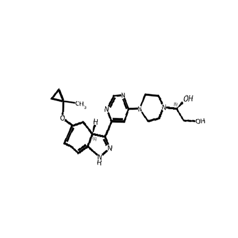 CC1(OC2=CC=C3NN=C(c4cc(N5CCN([C@@H](O)CO)CC5)ncn4)[C@H]3C2)CC1